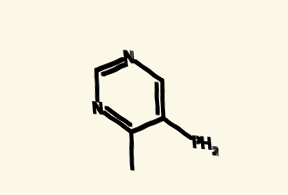 Cc1ncncc1P